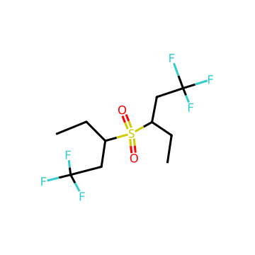 CCC(CC(F)(F)F)S(=O)(=O)C(CC)CC(F)(F)F